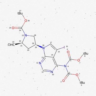 CC(C)(C)OC(=O)N(C(=O)OC(C)(C)C)c1ncnc2c1c(I)cn2[C@H]1C[C@@H](C=O)N(C(=O)OC(C)(C)C)C1